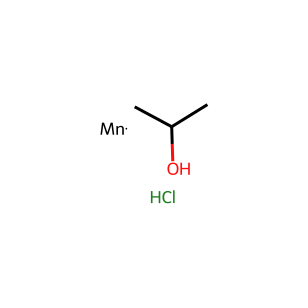 CC(C)O.Cl.[Mn]